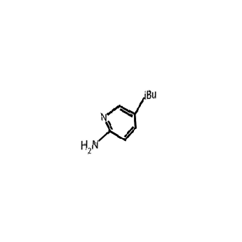 CCC(C)c1ccc(N)nc1